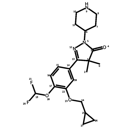 CC1(C)C(=O)N(C2CCNCC2)N=C1c1ccc(OC(F)F)c(OCC2CC2)c1